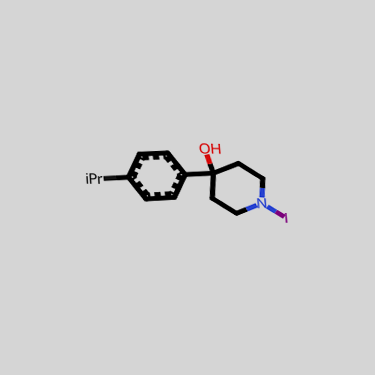 CC(C)c1ccc(C2(O)CCN(I)CC2)cc1